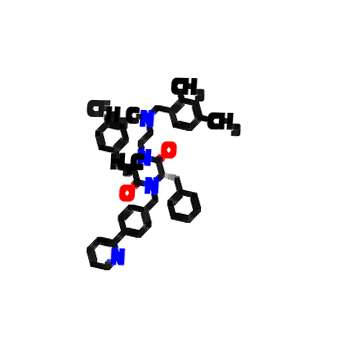 Cc1ccc(CN(C)CCN(C)C(=O)[C@H](Cc2ccccc2)N(Cc2ccc(-c3ccccn3)cc2)C(=O)/C=C/c2ccc(C(F)(F)F)cc2)c(C)c1